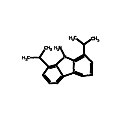 CC(C)c1cccc2c3cccc(C(C)C)c3n(N)c12